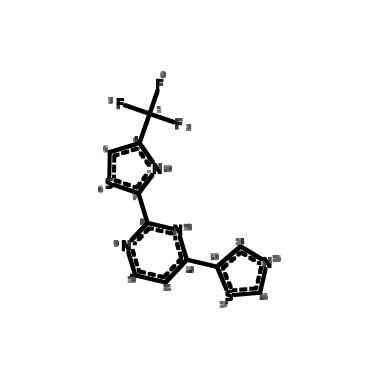 FC(F)(F)c1csc(-c2n[c]cc(-c3cncs3)n2)n1